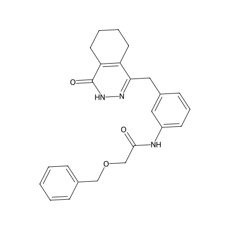 O=C(COCc1ccccc1)Nc1cccc(Cc2n[nH]c(=O)c3c2CCCC3)c1